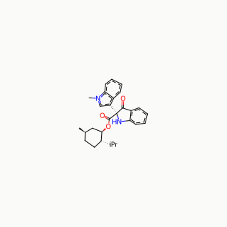 CC(C)[C@@H]1CC[C@@H](C)C[C@H]1OC(=O)[C@]1(c2cn(C)c3ccccc23)Nc2ccccc2C1=O